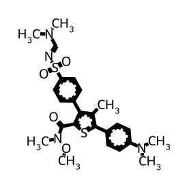 CON(C)C(=O)c1sc(-c2ccc(N(C)C)cc2)c(C)c1-c1ccc(S(=O)(=O)N=CN(C)C)cc1